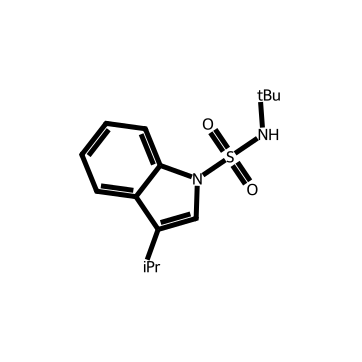 CC(C)c1cn(S(=O)(=O)NC(C)(C)C)c2ccccc12